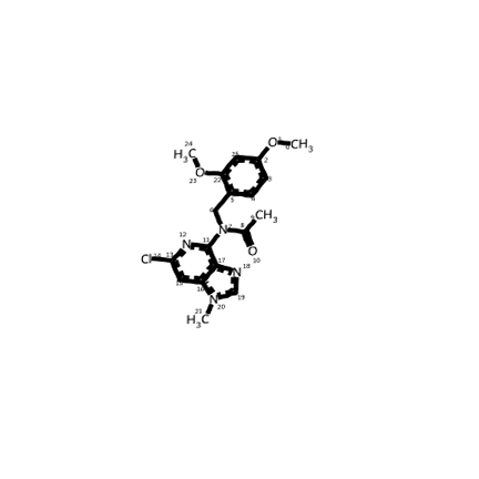 COc1ccc(CN(C(C)=O)c2nc(Cl)cc3c2ncn3C)c(OC)c1